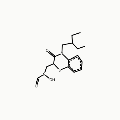 CCC(CC)CN1C(=O)C(CN(O)C=O)Sc2ccccc21